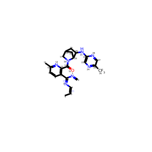 C=N/C(=N\C=C/C)c1ccc(C)nc1C(=O)N1CC2CC(Nc3cnc(C(F)(F)F)cn3)C1C2